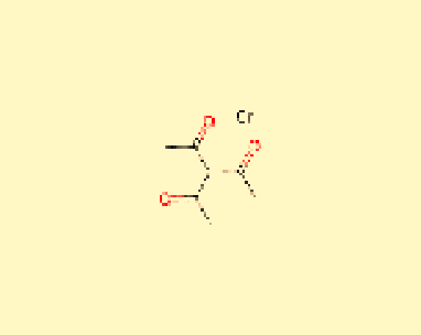 CC(=O)C(C(C)=O)C(C)=O.[Cr]